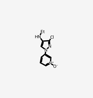 CCNc1cn(-c2ccc[n+]([O-])c2)nc1Cl